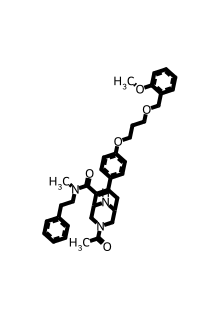 COc1ccccc1COCCCOc1ccc(C2=C(C(=O)N(C)CCc3ccccc3)C3CN(C(C)=O)CC(C2)N3)cc1